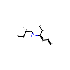 C=C/C=C(\CC)NC[C@@H](C)CC